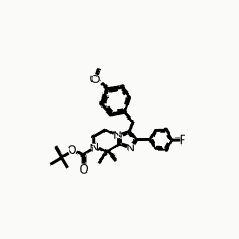 COc1ccc(Cc2c(-c3ccc(F)cc3)nc3n2CCN(C(=O)OC(C)(C)C)C3(C)C)cc1